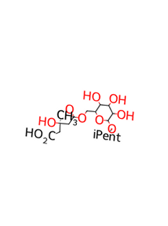 CCC[C@H](C)OC1OC(COC(=O)C[C@](C)(O)CC(=O)O)C(O)C(O)C1O